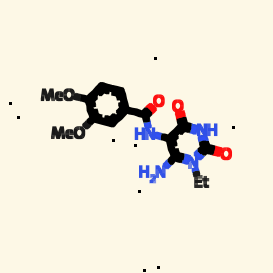 CCn1c(N)c(NC(=O)c2ccc(OC)c(OC)c2)c(=O)[nH]c1=O